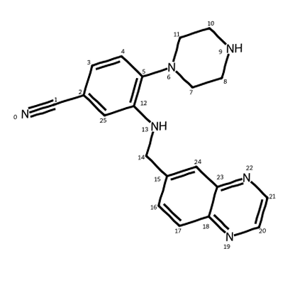 N#Cc1ccc(N2CCNCC2)c(NCc2ccc3nccnc3c2)c1